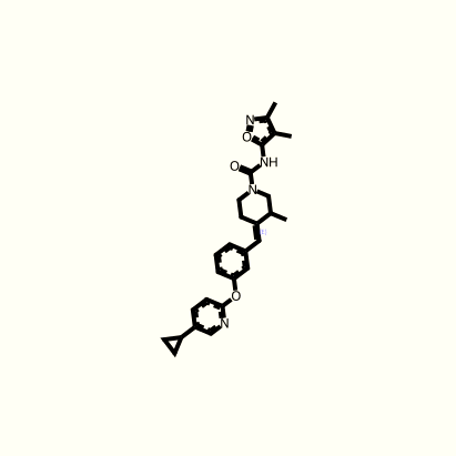 Cc1noc(NC(=O)N2CC/C(=C\c3cccc(Oc4ccc(C5CC5)cn4)c3)C(C)C2)c1C